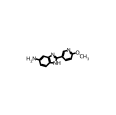 COc1ccc(-c2nc3cc(N)ccc3[nH]2)cn1